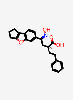 O=C(O)[C@@H](CCc1ccccc1)CC(=NO)c1ccc2c3c(oc2c1)CCC3